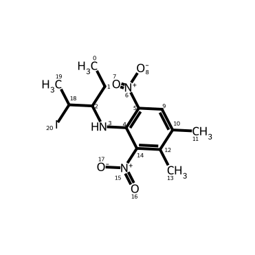 CCC(Nc1c([N+](=O)[O-])cc(C)c(C)c1[N+](=O)[O-])C(C)I